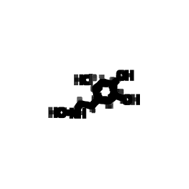 Cl.ONCCc1ccc(O)c(O)c1